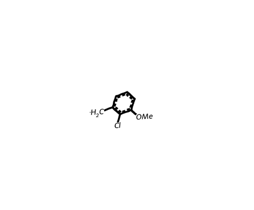 [CH2]c1cccc(OC)c1Cl